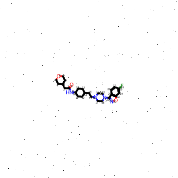 O=C(CC1CCOCC1)NC1CCC(CCN2CCN(c3noc4cc(F)ccc34)CC2)CC1